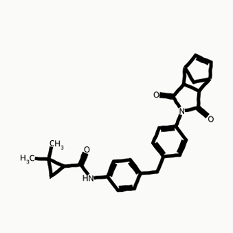 CC1(C)CC1C(=O)Nc1ccc(Cc2ccc(N3C(=O)C4C5C=CC(C5)C4C3=O)cc2)cc1